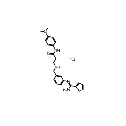 CN(C)c1ccc(NC(=O)CCNCc2cccc(/N=C(\N)c3cccs3)c2)cc1.Cl